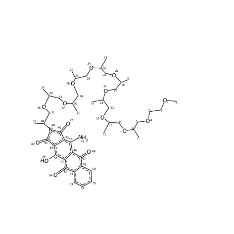 COCCOCC(C)OCC(C)OCC(C)OCC(C)OCC(C)OCC(C)OCC(C)OCC(C)OCC(C)n1c(=O)c2c(N)c3c(=O)c4ccccc4c(=O)c3c(O)c2c1=O